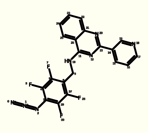 [N-]=[N+]=Nc1c(F)c(F)c(CNc2nc(-c3cccnc3)nc3ccccc23)c(F)c1F